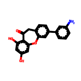 Nc1cccc(-c2ccc3c(c2)Oc2cc(O)cc(O)c2C(=O)C3)c1